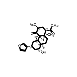 COC(=O)[C@@H]1C[C@H](OC(C)=O)C(=O)[C@@H]2[C@H]3C[C@@H](c4ccoc4)C[C@@H](O)[C@@H]3CC[C@]21C